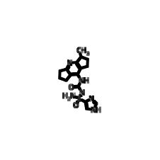 CC1CCc2c1nc1c(c2NC(=O)N=S(N)(=O)c2c[nH]cn2)CCC1